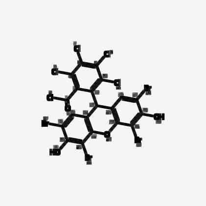 O=C(Cl)c1c(Cl)c(Cl)c(Cl)c(Cl)c1C1c2cc(Br)c(O)c(Br)c2Oc2c1cc(Br)c(O)c2Br